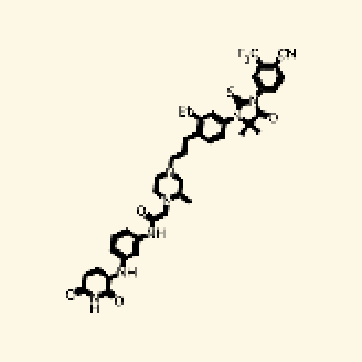 CCc1cc(N2C(=S)N(c3ccc(C#N)c(C(F)(F)F)c3)C(=O)C2(C)C)ccc1CCCN1CCN(CC(=O)Nc2cccc(NC3CCC(=O)NC3=O)c2)C(C)C1